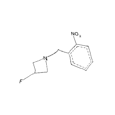 O=[N+]([O-])c1ccccc1CN1CC(F)C1